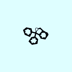 c1ccc2c(c#1)COC2(c1ccccc1)c1ccccc1